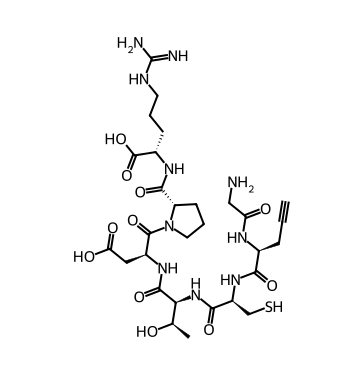 C#CC[C@H](NC(=O)CN)C(=O)N[C@@H](CS)C(=O)N[C@H](C(=O)N[C@@H](CC(=O)O)C(=O)N1CCC[C@H]1C(=O)N[C@@H](CCCNC(=N)N)C(=O)O)[C@@H](C)O